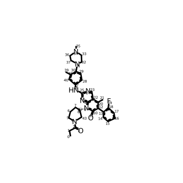 CCC(=O)N1CCC[C@H](n2c(=O)c(-c3ccccc3F)c(C)c3cnc(Nc4ccc(N5CCN(C)CC5)c(C)c4)nc32)C1